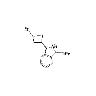 CCCC1NN(C2CC(CC)C2)c2ccccc21